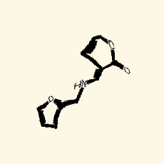 O=C1OC=CC1=CNCc1ccco1